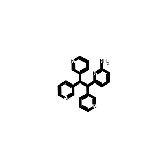 Nc1cccc(C(c2cccnc2)C(c2cccnc2)c2cccnc2)n1